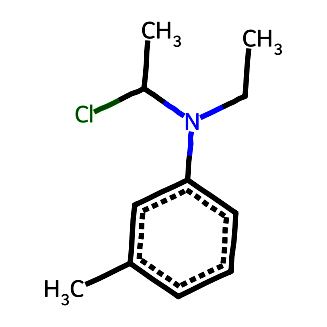 CCN(c1cccc(C)c1)C(C)Cl